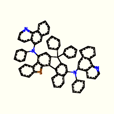 c1ccc(N(c2cc3c(c4ccccc24)-c2c(cc(N(c4ccccc4)c4cc5ccccc5c5ncccc45)c4c2sc2ccccc24)C3(c2ccccc2)c2ccccc2)c2cc3ccccc3c3ncccc23)cc1